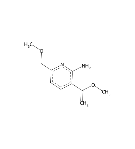 C=C(OC)c1ccc(COC)nc1N